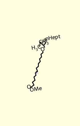 CCCCCCCOCC(COCCCCCCCC/C=C/CCCCCC(=O)OC)N(C)C